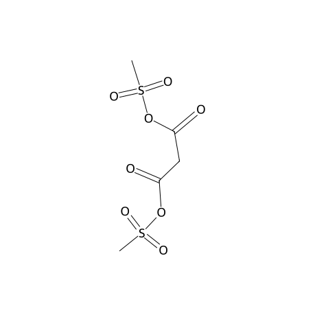 CS(=O)(=O)OC(=O)CC(=O)OS(C)(=O)=O